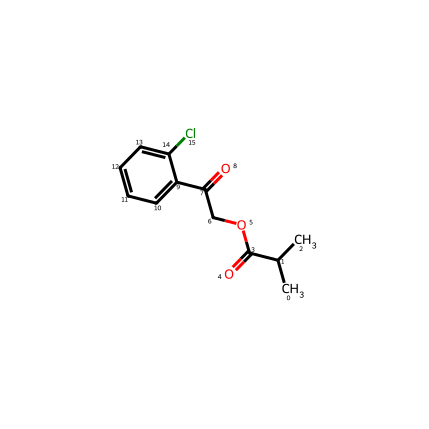 CC(C)C(=O)OCC(=O)c1ccccc1Cl